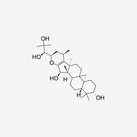 C[C@@H]1C[C@H]([C@@H](O)C(C)(C)O)OC2=C1[C@@]1(C)CCC34C[C@@]35CC[C@H](O)C(C)(C)[C@@H]5CC[C@H]4[C@]1(C)[C@H]2O